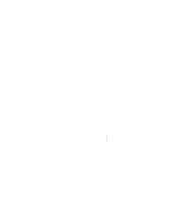 OBOc1cc2ccccc2cc1Br